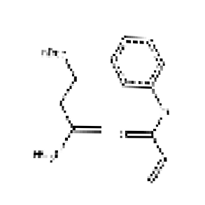 C=C(CCCCCCCCCCCC)C(=O)O.C=CC(=O)Oc1ccccc1